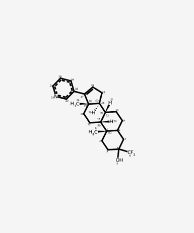 C[C@]12CCC(O)(C(F)(F)F)CC1CC[C@@H]1[C@H]2CC[C@]2(C)C(c3cccnc3)=CC[C@@H]12